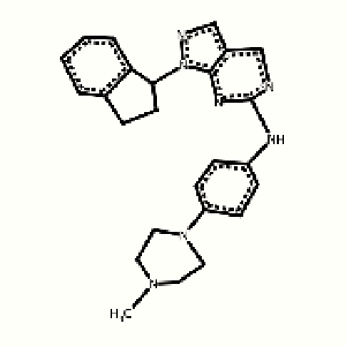 CN1CCN(c2ccc(Nc3ncc4cnn(C5CCc6ccccc65)c4n3)cc2)CC1